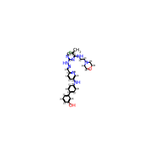 C=C(F)/C(=N\C(=N/C)N/N=C/c1ccc(Nc2ccc(-c3cccc(O)c3)cc2)cn1)NCCN1CCOCC1